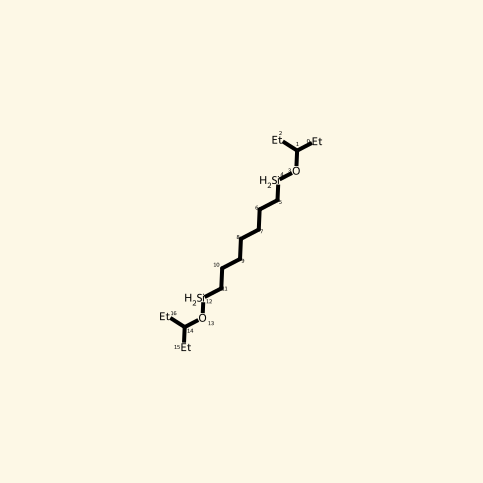 CCC(CC)O[SiH2]CCCCCCC[SiH2]OC(CC)CC